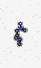 C1=CCCC(c2nc(-c3cccc(-c4ccc5c(-c6nccc7c6sc6ccccc67)nccc5c4)c3)nc(C3CCCCC3)n2)=C1